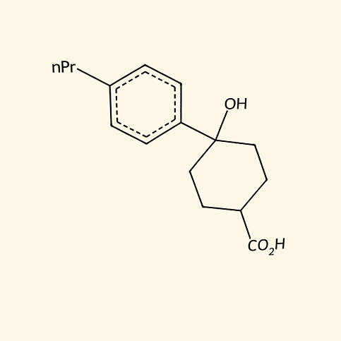 CCCc1ccc(C2(O)CCC(C(=O)O)CC2)cc1